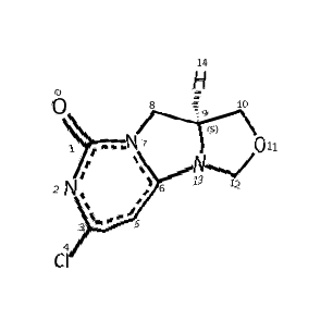 O=c1nc(Cl)cc2n1C[C@H]1COCN21